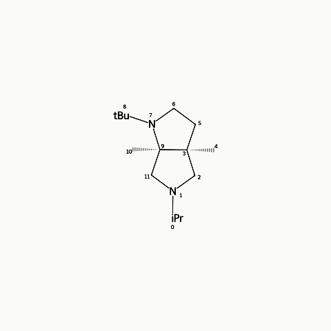 CC(C)N1C[C@]2(C)CCN(C(C)(C)C)[C@]2(C)C1